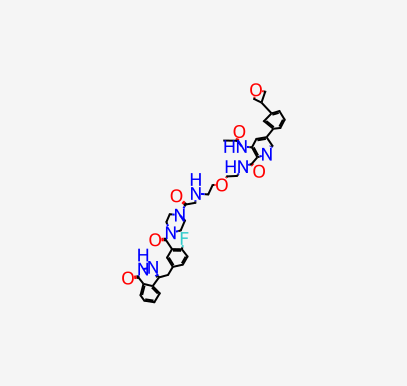 CC(=O)Nc1cc(-c2cccc(C3COC3)c2)cnc1C(=O)NCCOCCNCC(=O)N1CCN(C(=O)c2cc(Cc3n[nH]c(=O)c4ccccc34)ccc2F)CC1